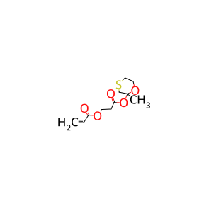 C=CC(=O)OCCC(=O)OC1(C)CSCCO1